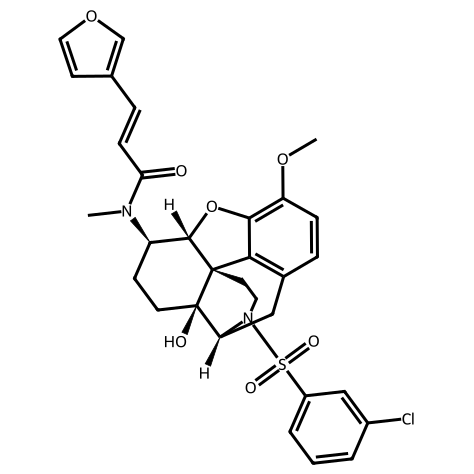 COc1ccc2c3c1O[C@H]1[C@H](N(C)C(=O)/C=C/c4ccoc4)CC[C@@]4(O)[C@@H](C2)N(S(=O)(=O)c2cccc(Cl)c2)CC[C@]314